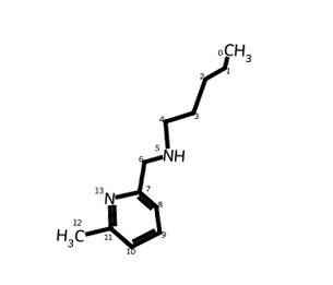 CCCCCNCc1cccc(C)n1